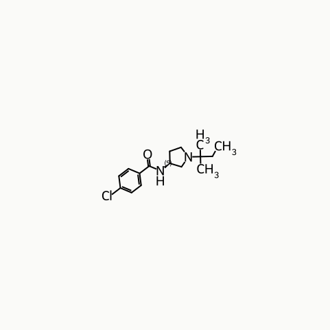 CCC(C)(C)N1CC[C@H](NC(=O)c2ccc(Cl)cc2)C1